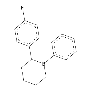 Fc1ccc(C2CCCCB2c2ccccc2)cc1